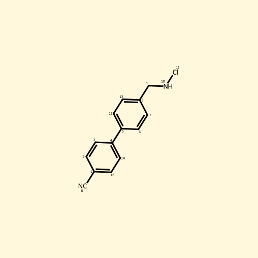 N#Cc1ccc(-c2ccc(CNCl)cc2)cc1